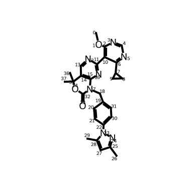 COc1ncnc(C2CC2)c1-c1ncc2c(n1)N(Cc1ccc(-n3nc(C)cc3C)cc1)C(=O)OC2(C)C